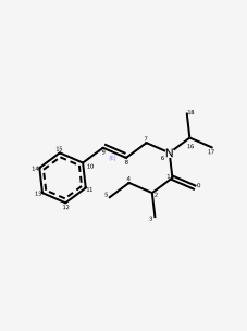 C=C(C(C)CC)N(C/C=C/c1ccccc1)C(C)C